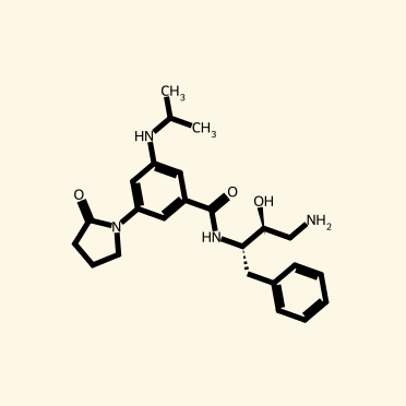 CC(C)Nc1cc(C(=O)N[C@@H](Cc2ccccc2)[C@@H](O)CN)cc(N2CCCC2=O)c1